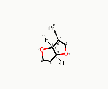 CC(C)[C@H]1CO[C@H]2CCO[C@H]21